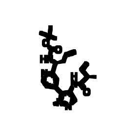 C=CC[C@H](NC(=O)OC(C)(C)C)c1cc(-c2c(NC(=O)[C@H](C)C=C)cnn2C)ccn1